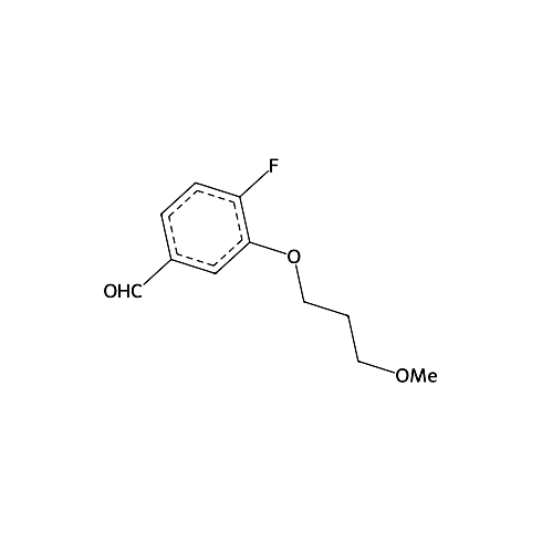 COCCCOc1cc(C=O)ccc1F